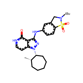 C[C@H]1CCCCC[C@H]1n1nc(Nc2ccc3c(c2)CN(C(C)(C)C)S3(=O)=O)c2c(=O)[nH]ccc21